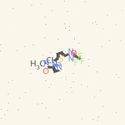 CN(C)C(=O)c1ccnn1Cc1ccc(-c2noc(C(F)(F)F)n2)s1